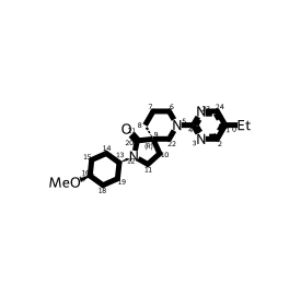 CCc1cnc(N2CCC[C@@]3(CCN([C@H]4CC[C@H](OC)CC4)C3=O)C2)nc1